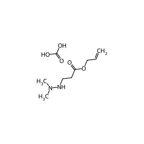 C=CCOC(=O)CCNN(C)C.O=C(O)O